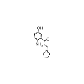 Nc1ccc(O)cc1C(=O)C=CN1CCCC1